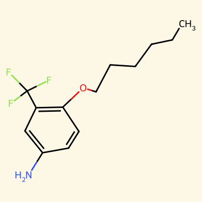 CCCCCCOc1ccc(N)cc1C(F)(F)F